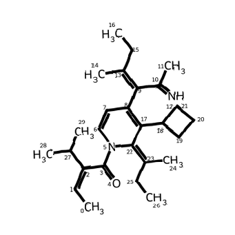 C/C=C(\C(=O)N1C=CC(C(/C(C)=N)=C(\C)CC)=C(C2CCC2)/C1=C(\C)CC)C(C)C